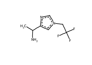 CC(N)c1cn(CC(F)(F)F)cn1